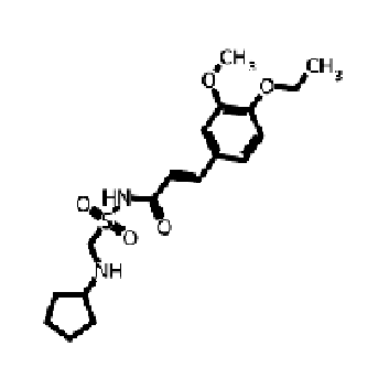 CCOc1ccc(/C=C/C(=O)NS(=O)(=O)CNC2CCCC2)cc1OC